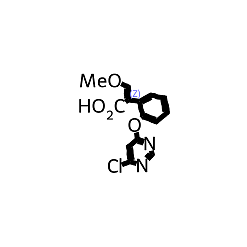 CO/C=C(\C(=O)O)c1ccccc1Oc1cc(Cl)ncn1